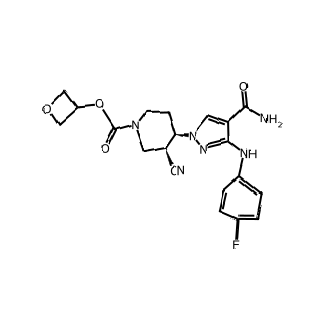 N#C[C@H]1CN(C(=O)OC2COC2)CC[C@H]1n1cc(C(N)=O)c(Nc2ccc(F)cc2)n1